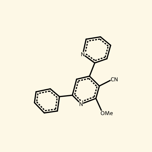 COc1nc(-c2ccccc2)cc(-c2ccccn2)c1C#N